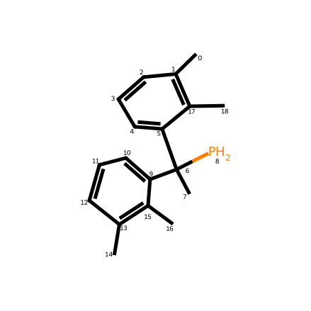 Cc1cccc(C(C)(P)c2cccc(C)c2C)c1C